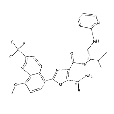 COc1ccc(-c2nc(C(=O)N[C@H](CNc3ncccn3)C(C)C)c([C@H](C)N)o2)c2ccc(C(F)(F)F)nc12